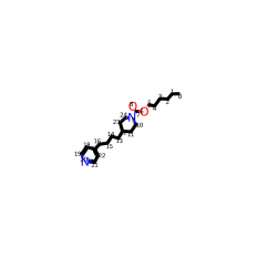 CCCCCCOC(=O)N1CCC(CCCCc2ccncc2)CC1